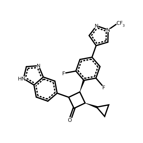 O=C1C(c2ccc3[nH]cnc3c2)[C@@H](c2c(F)cc(-c3cnn(C(F)(F)F)c3)cc2F)[C@H]1C1CC1